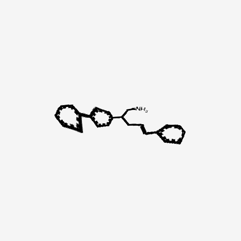 NCC(CC=Cc1ccccc1)c1ccc(-c2ccccc2)cc1